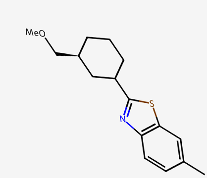 COC[C@H]1CCCC(c2nc3ccc(C)cc3s2)C1